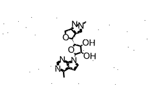 Cc1ncnc2c1ccn2[C@@H]1O[C@H](C2OCc3nn(C)cc32)[C@@H](O)[C@H]1O